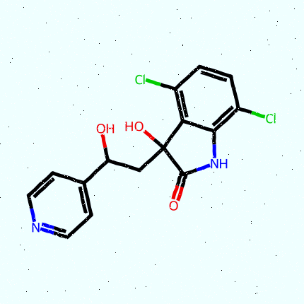 O=C1Nc2c(Cl)ccc(Cl)c2C1(O)CC(O)c1ccncc1